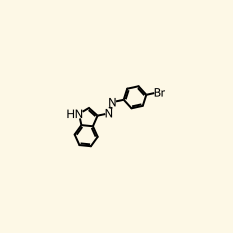 Brc1ccc(N=Nc2c[nH]c3ccccc23)cc1